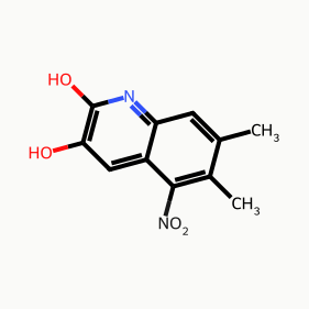 Cc1cc2nc(O)c(O)cc2c([N+](=O)[O-])c1C